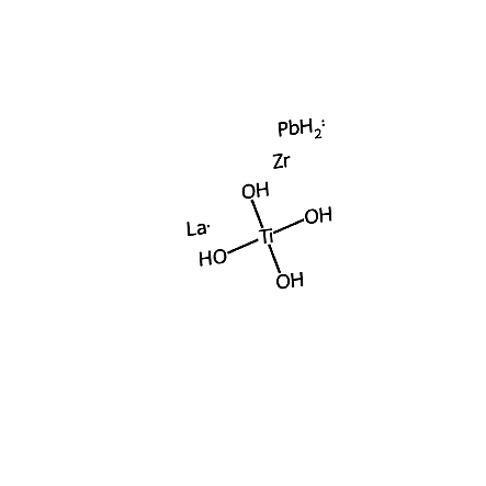 [La].[OH][Ti]([OH])([OH])[OH].[PbH2].[Zr]